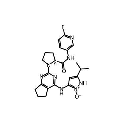 CC(C)c1cc(Nc2nc(N3CCC[C@H]3C(=O)Nc3ccc(F)nc3)nc3c2CCC3)[n+]([O-])[nH]1